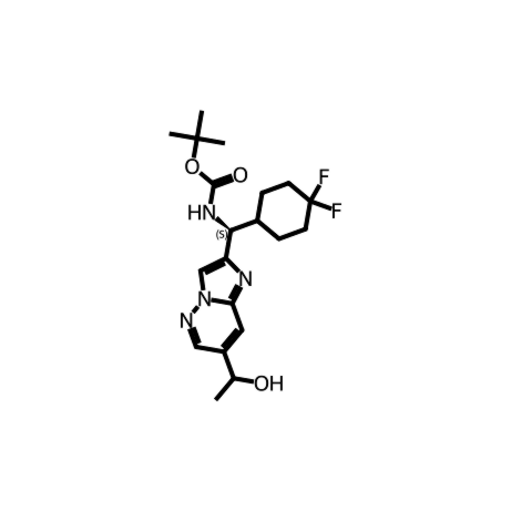 CC(O)c1cnn2cc([C@@H](NC(=O)OC(C)(C)C)C3CCC(F)(F)CC3)nc2c1